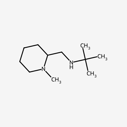 CN1CCCCC1CNC(C)(C)C